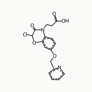 O=C(O)CCN1C(=O)C(Cl)Oc2cc(OCc3ccccn3)ccc21